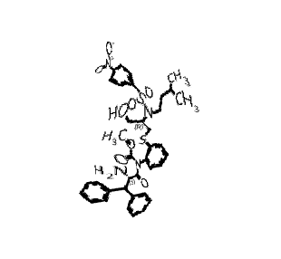 COC(=O)N(C(=O)[C@@H](N)C(c1ccccc1)c1ccccc1)c1ccccc1SC[C@@H](CO)N(CCC(C)C)S(=O)(=O)c1ccc([N+](=O)[O-])cc1